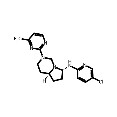 FC(F)(F)c1ccnc(N2CC[C@@H]3CC[C@@H](Nc4ccc(Cl)cn4)N3C2)n1